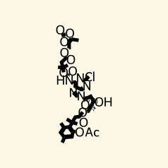 CC(=O)Oc1cc(C)cc(C)c1C(C)(C)CC(=O)OC[C@@]1(C)O[C@@H](n2cnc3c(NC(=O)OC(C)(C)CC(=O)OCc4oc(=O)oc4C)nc(Cl)nc32)C[C@@H]1O